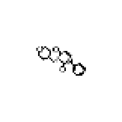 O=c1ccn(-c2ccccc2)c(=O)n1CC1CCOCC1